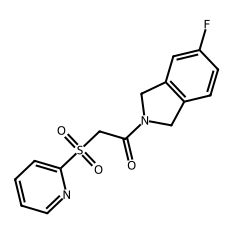 O=C(CS(=O)(=O)c1ccccn1)N1Cc2ccc(F)cc2C1